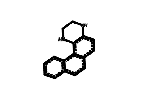 c1ccc2c(c1)ccc1ccc3c(c12)NCCN3